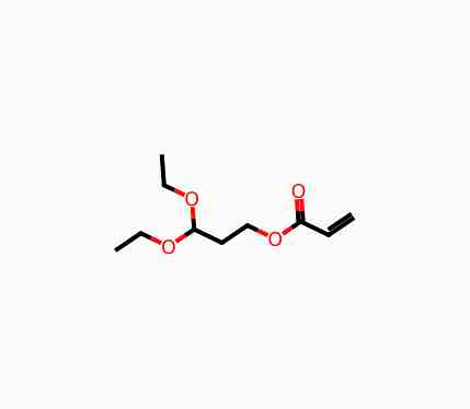 C=CC(=O)OCCC(OCC)OCC